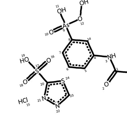 CC(=O)Nc1cccc([As](=O)(O)OO)c1.Cl.O=S(=O)(O)c1nncs1